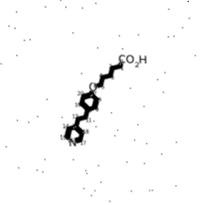 O=C(O)CCCCCOc1ccc(CCc2ccncc2)cc1